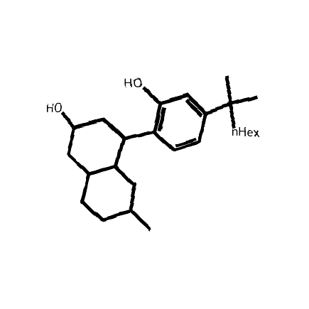 CCCCCCC(C)(C)c1ccc(C2CC(O)CC3CCC(C)CC32)c(O)c1